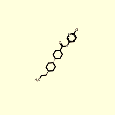 CCC[C@H]1CC[C@H](C2CCC(C(=O)Oc3ccc(Cl)nc3)CC2)CC1